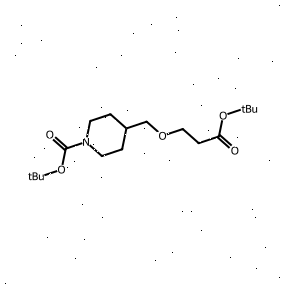 CC(C)(C)OC(=O)CCOCC1CCN(C(=O)OC(C)(C)C)CC1